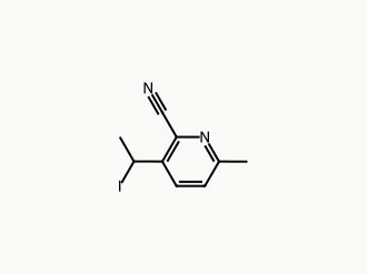 Cc1ccc(C(C)I)c(C#N)n1